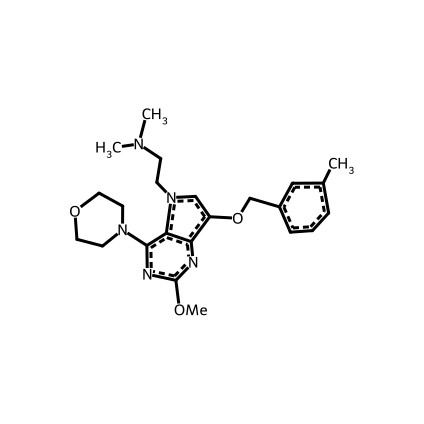 COc1nc(N2CCOCC2)c2c(n1)c(OCc1cccc(C)c1)cn2CCN(C)C